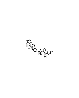 Cc1ccc(NC(=O)c2nnc(-c3ccc(NC(=O)Nc4cccc(C)c4C)cc3)s2)cc1